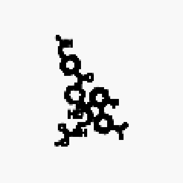 CNCc1ccc(C(=O)N2CCC[C@@H]([C@@](O)(CCCNC(=O)OC)c3cccc(F)c3-c3cccc(C(C)C)c3)C2)cc1